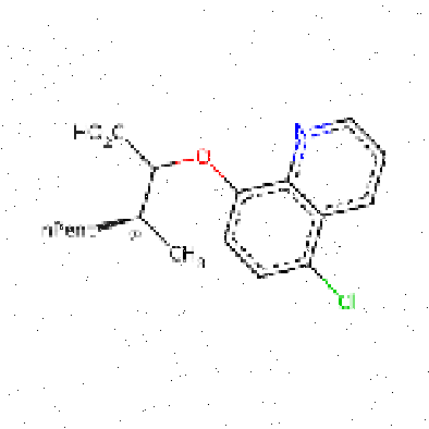 CCCCC[C@H](C)C(Oc1ccc(Cl)c2cccnc12)C(=O)O